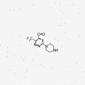 O=Cc1cc(N2CCNCC2)nnc1C(F)(F)F